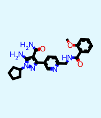 COc1ccccc1C(=O)NCc1ccc(-c2nn(C3CCCC3)c(N)c2C(N)=O)cn1